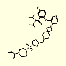 C=CC(=O)N1CCCN(S(=O)(=O)N2CC[C@@H](CN3CCC4(CC3)CN(c3ncncc3Oc3ccc(F)cc3C(=O)N(C(C)C)C(C)C)C4)C2)CC1